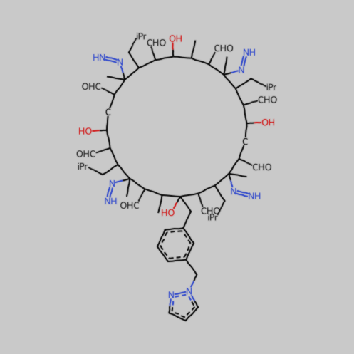 CC(C)CC1C(C=O)C(O)C(C)C(C=O)C(C)(N=N)C(CC(C)C)C(C=O)C(O)CC(C=O)C(C)(N=N)C(CC(C)C)C(C=O)C(O)(Cc2cccc(Cn3cccn3)c2)C(C)C(C=O)C(C)(N=N)C(CC(C)C)C(C=O)C(O)CC(C=O)C1(C)N=N